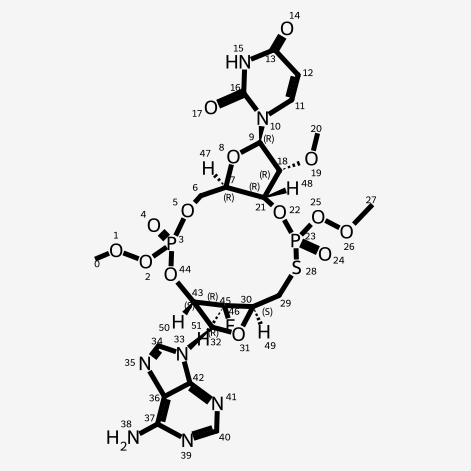 COOP1(=O)OC[C@H]2O[C@@H](n3ccc(=O)[nH]c3=O)[C@H](OC)[C@@H]2OP(=O)(OOC)SC[C@H]2O[C@@H](n3cnc4c(N)ncnc43)[C@H](O1)[C@@H]2F